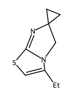 CCC1=CSC2=NC3(CC3)CN12